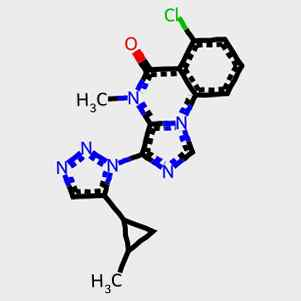 CC1CC1c1cnnn1-c1ncn2c3cccc(Cl)c3c(=O)n(C)c12